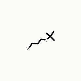 CC(C)(C)SCCCBr